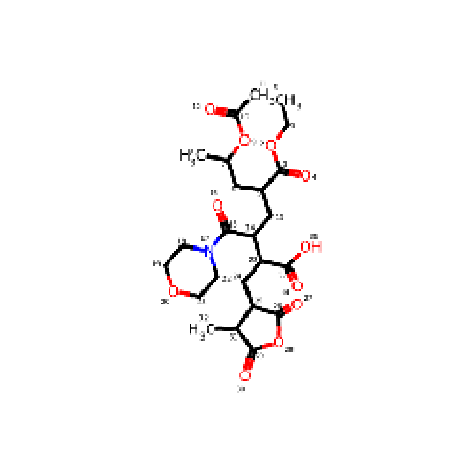 CCOC(=O)C(CC(C)OC(C)=O)CC(C(=O)N1CCOCC1)C(CC1C(=O)OC(=O)C1C)C(=O)O